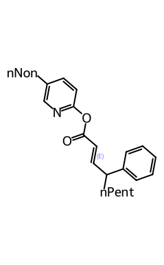 CCCCCCCCCc1ccc(OC(=O)/C=C/C(CCCCC)c2ccccc2)nc1